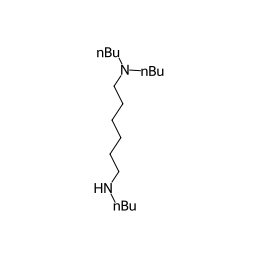 CCCCNCCCCCCN(CCCC)CCCC